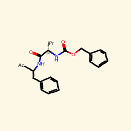 CC(=O)C(Cc1ccccc1)NC(=O)[C@@H](NC(=O)OCc1ccccc1)C(C)C